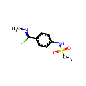 CN=C(Cl)c1ccc(NS(C)(=O)=O)cc1